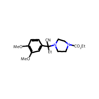 CCOC(=O)N1CCN(C(C#N)(CC)c2ccc(OC)c(OC)c2)CC1